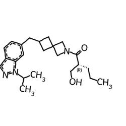 CCC[C@H](CO)C(=O)N1CC2(CC(Cc3ccc4cnn(C(C)C)c4c3)C2)C1